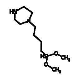 CO[SiH](CCCCN1CCNCC1)OC